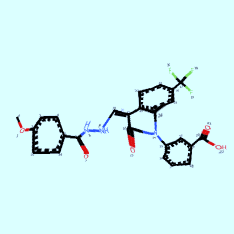 COc1ccc(C(=O)NN/C=C2\C(=O)N(c3cccc(C(=O)O)c3)c3cc(C(F)(F)F)ccc32)cc1